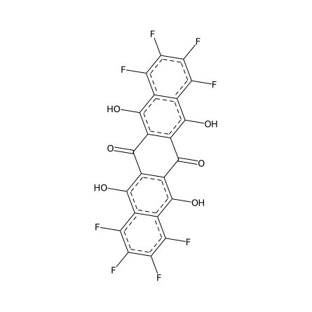 O=C1c2c(c(O)c3c(F)c(F)c(F)c(F)c3c2O)C(=O)c2c1c(O)c1c(F)c(F)c(F)c(F)c1c2O